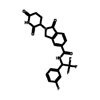 O=C1CCC(N2Cc3cc(C(=O)NC(c4cccc(F)c4)C(F)(F)F)ccc3C2=O)C(=O)N1